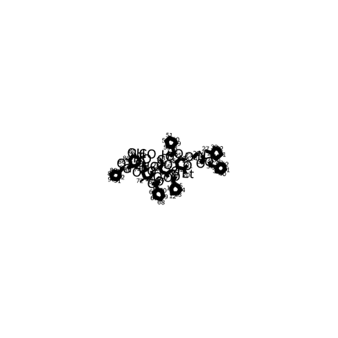 CCC1O[C@@H](O[C@@H]2C(OC(=O)c3ccccc3)[C@H](O[C@@H]3C(CC)O[C@@H](OCCN(Cc4ccccc4)C(=O)OCc4ccccc4)C(OC(=O)c4ccccc4)[C@H]3C)OC(C(=O)O)[C@H]2O)C(OC(=O)c2ccccc2)[C@@H](C)[C@@H]1O[C@@H]1OC(C(=O)O)[C@@H](O)[C@H](C)C1OC(=O)c1ccccc1